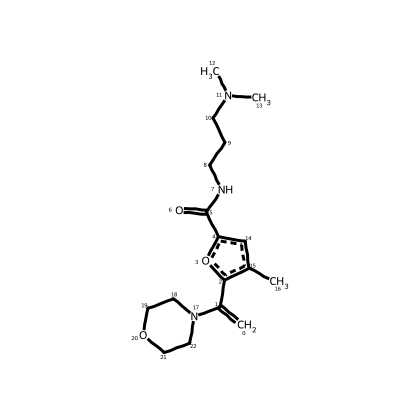 C=C(c1oc(C(=O)NCCCN(C)C)cc1C)N1CCOCC1